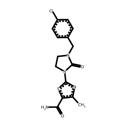 Cc1nc(N2CCN(Cc3ccc(Cl)cc3)C2=O)sc1C(N)=O